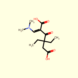 CCC(CC)(CC(=O)O)C(=O)C(=CN(C)C)C(=O)O